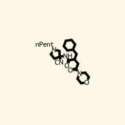 CCCCCN1CCC(C#N)(NC(=O)C(CC(=O)N2CCOCC2)CC2CCCCC2)C1